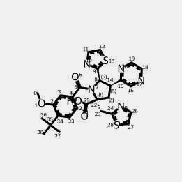 COc1cc(C(=O)N2[C@@H](c3nccs3)[C@@H](c3cnccn3)C[C@@]2(Cc2nccs2)C(=O)O)ccc1C(C)(C)C